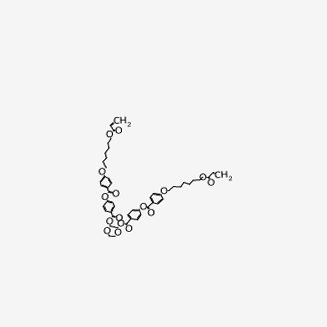 C=CC(=O)OCCCCCCCOc1ccc(C(=O)Oc2ccc(C(=O)OC3OCCOC3OC(=O)c3ccc(OC(=O)c4ccc(OCCCCCCCOC(=O)C=C)cc4)cc3)cc2)cc1